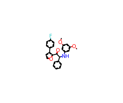 COc1cc(NC(C(=O)c2occc2-c2ccc(F)cc2)c2ccccc2)cc(OC)c1